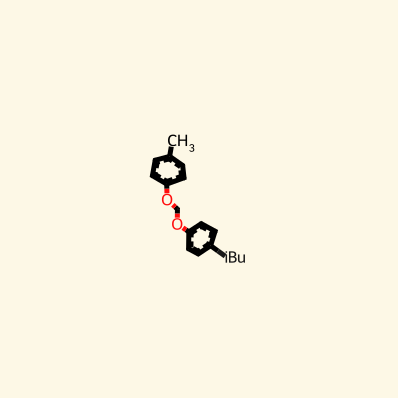 CCC(C)c1ccc(OCOc2ccc(C)cc2)cc1